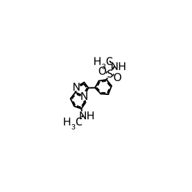 CNc1ccc2ncc(-c3cccc(S(=O)(=O)NC)c3)n2c1